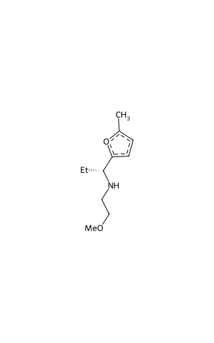 CC[C@@H](NCCOC)c1ccc(C)o1